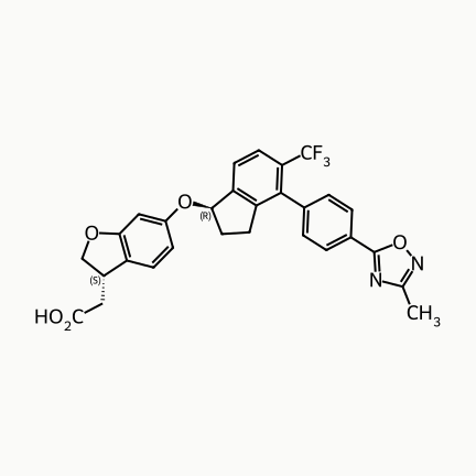 Cc1noc(-c2ccc(-c3c(C(F)(F)F)ccc4c3CC[C@H]4Oc3ccc4c(c3)OC[C@H]4CC(=O)O)cc2)n1